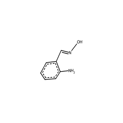 Nc1ccccc1C=NO